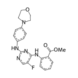 COC(=O)c1ccccc1Nc1nc(Nc2ccc(N3CCOCC3)cc2)ncc1F